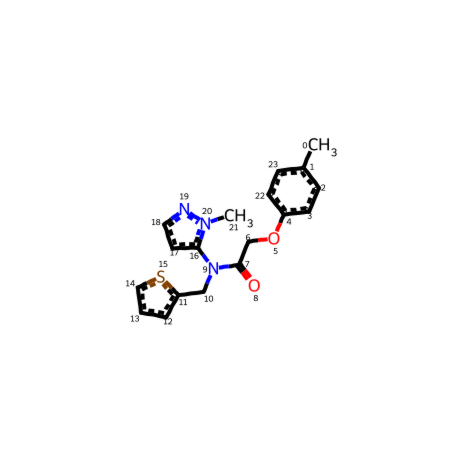 Cc1ccc(OCC(=O)N(Cc2cccs2)c2ccnn2C)cc1